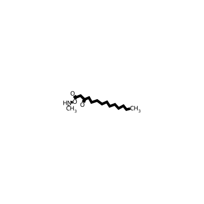 CCCCCCCCCCCC(=O)CC(=O)ONC